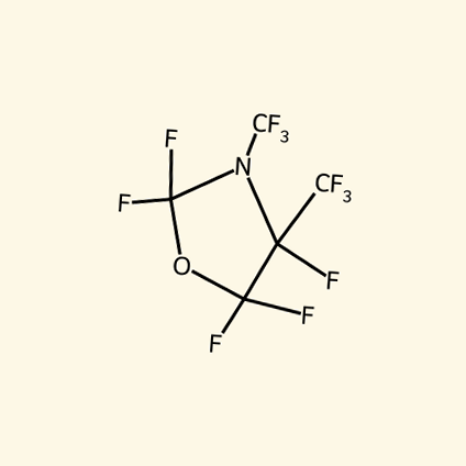 FC(F)(F)N1C(F)(F)OC(F)(F)C1(F)C(F)(F)F